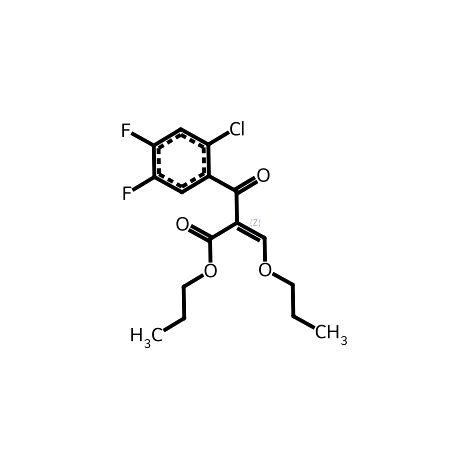 CCCO/C=C(\C(=O)OCCC)C(=O)c1cc(F)c(F)cc1Cl